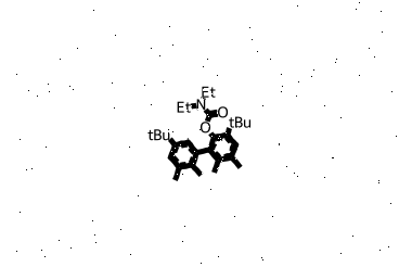 CCN(CC)C(=O)Oc1c(C(C)(C)C)cc(C)c(C)c1-c1[c]c(C(C)(C)C)cc(C)c1C